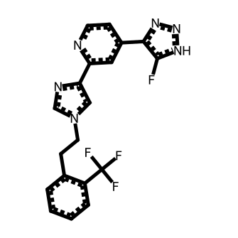 Fc1[nH]nnc1-c1ccnc(-c2cn(CCc3ccccc3C(F)(F)F)cn2)c1